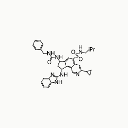 CC(C)CNS(=O)(=O)c1cc2c(c3cnc(C4CC4)cc13)C(Nc1nc3ccccc3[nH]1)CC2NC(=O)NCc1ccccc1